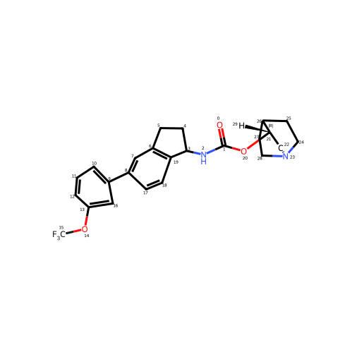 O=C(NC1CCc2cc(-c3cccc(OC(F)(F)F)c3)ccc21)O[C@H]1CN2CCC1CC2